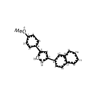 COc1ccc(-c2cc(-c3ccc4ccccc4c3)no2)cc1